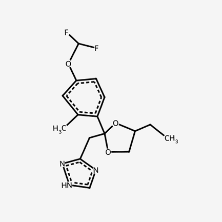 CCC1COC(Cc2nc[nH]n2)(c2ccc(OC(F)F)cc2C)O1